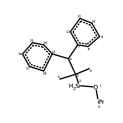 CC(C)O[SiH2]C(C)(C)C(c1ccccc1)c1ccccc1